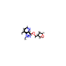 Cc1ccnc2c(OCC3CCOC3)nn(C)c12